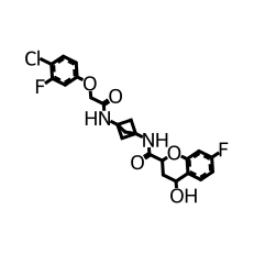 O=C(COc1ccc(Cl)c(F)c1)NC12CC(NC(=O)C3CC(O)c4ccc(F)cc4O3)(C1)C2